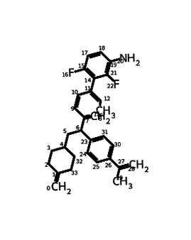 C=C1CCC(CC(C(=C)/C=C\C(=C/C)c2c(F)ccc(N)c2F)c2ccc(C(=C)C)cc2)CC1